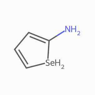 NC1=CC=C[SeH2]1